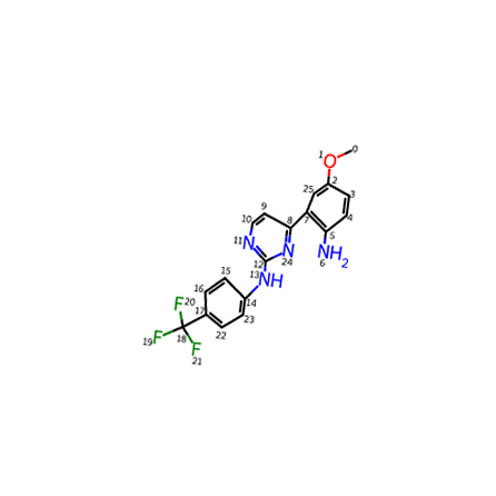 COc1ccc(N)c(-c2ccnc(Nc3ccc(C(F)(F)F)cc3)n2)c1